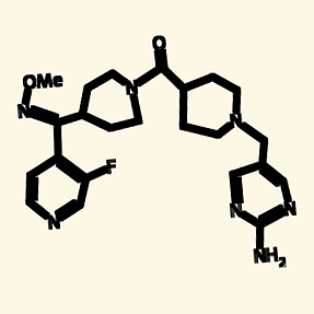 CON=C(c1ccncc1F)C1CCN(C(=O)C2CCN(Cc3cnc(N)nc3)CC2)CC1